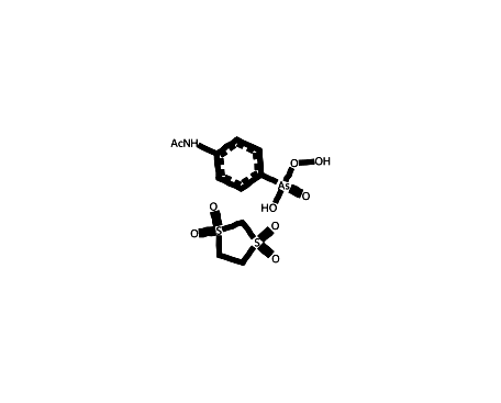 CC(=O)Nc1ccc([As](=O)(O)OO)cc1.O=S1(=O)CCS(=O)(=O)C1